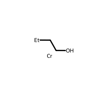 [CH2-]CCCO.[Cr]